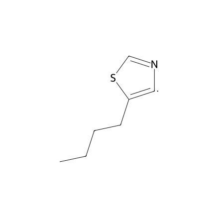 CCCCc1[c]ncs1